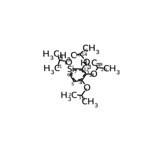 CC(C)Oc1cc[si](OC(C)C)c(OC(C)C)c1OC(C)C